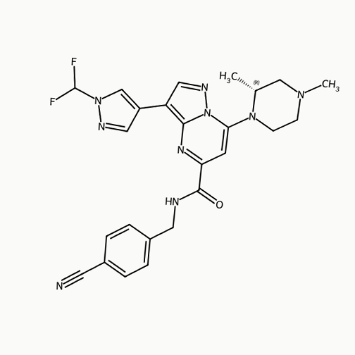 C[C@@H]1CN(C)CCN1c1cc(C(=O)NCc2ccc(C#N)cc2)nc2c(-c3cnn(C(F)F)c3)cnn12